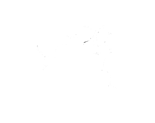 CCCCCCN[C@@H]1[C@@H](C/C=C\CCCC(=O)O)[C@H]2CC[C@@H]1O2